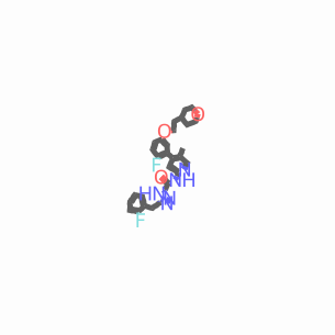 Cc1cnc(NC(=O)c2nnc(Cc3ccccc3F)[nH]2)cc1-c1cc(OCCC2CCOCC2)ccc1F